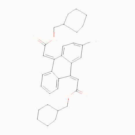 CCCCCc1ccc2c(=CC(=O)OCC3CCCCC3)c3ccccc3c(=CC(=O)OCC3CCCCC3)c2c1